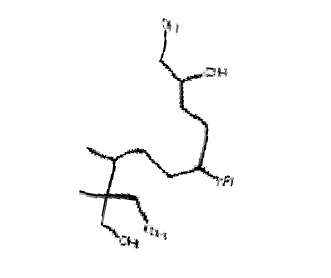 CCCC(CCC(O)CO)CCC(C)C(C)(CO)CO